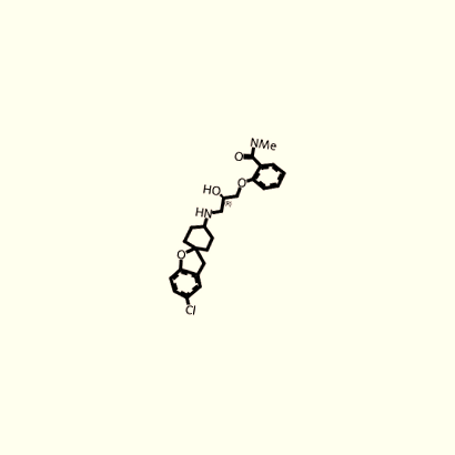 CNC(=O)c1ccccc1OC[C@H](O)CNC1CCC2(CC1)Cc1cc(Cl)ccc1O2